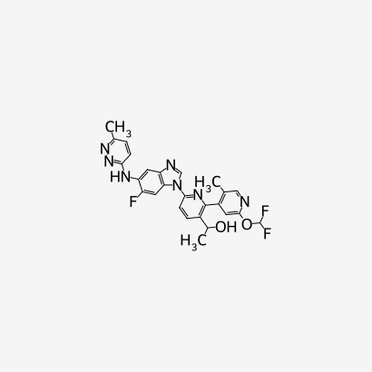 Cc1ccc(Nc2cc3ncn(-c4ccc(C(C)O)c(-c5cc(OC(F)F)ncc5C)n4)c3cc2F)nn1